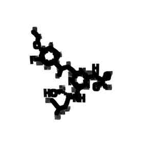 CCOc1ccc(C(C)Cc2nc(N[C@@H](CO)CC(C)C)nc(NS(C)(=O)=O)n2)cc1F